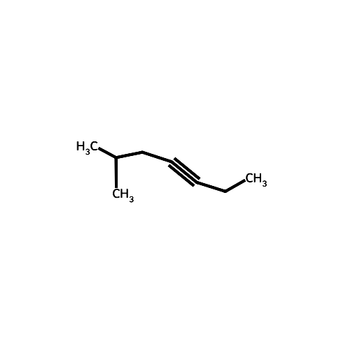 CCC#CCC(C)C